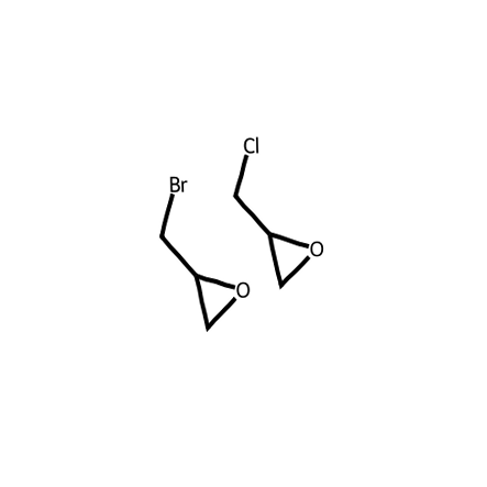 BrCC1CO1.ClCC1CO1